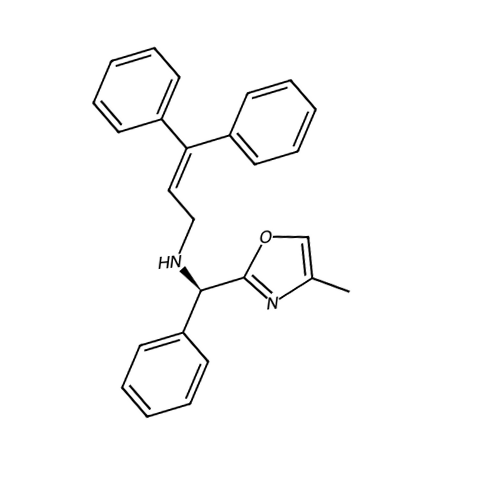 Cc1coc([C@H](NCC=C(c2ccccc2)c2ccccc2)c2ccccc2)n1